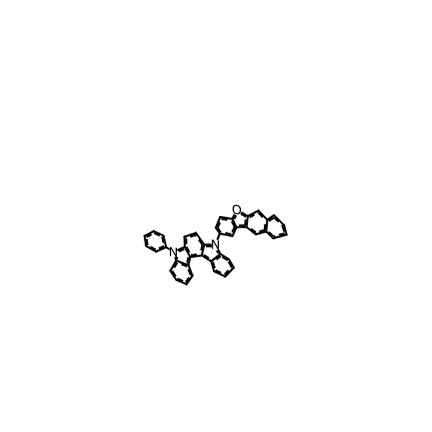 c1ccc(-n2c3ccccc3c3c4c5ccccc5n(-c5ccc6oc7cc8ccccc8cc7c6c5)c4ccc32)cc1